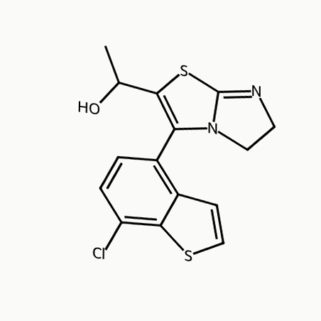 CC(O)C1=C(c2ccc(Cl)c3sccc23)N2CCN=C2S1